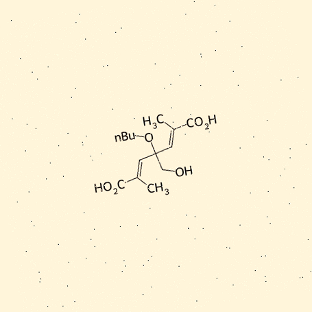 CCCCOC(C=C(C)C(=O)O)(C=C(C)C(=O)O)CO